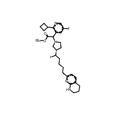 CC(C)(C)OC(=O)C(c1cc(F)cnc1C1CCC1)N1CC[C@@H](C(F)CCCCc2ccc3c(n2)NCCC3)C1